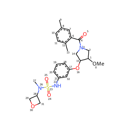 COC1CN(C(=O)c2cc(C)ccc2C)CC1Oc1cccc(NS(=O)(=O)N(C)C2COC2)c1